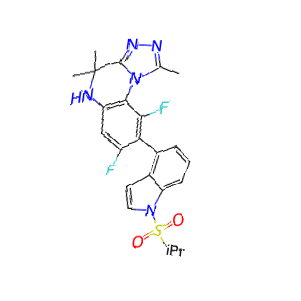 Cc1nnc2n1-c1c(cc(F)c(-c3cccc4c3ccn4S(=O)(=O)C(C)C)c1F)NC2(C)C